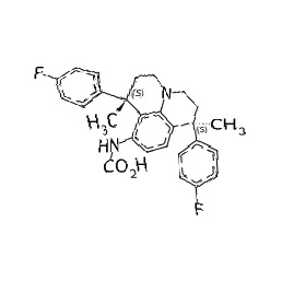 C[C@@]1(c2ccc(F)cc2)CCN2CC[C@@](C)(c3ccc(F)cc3)c3c(NC(=O)O)ccc1c32